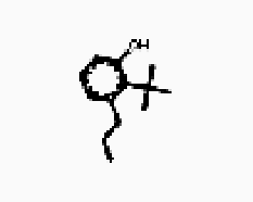 CCCc1cccc(O)c1C(C)(C)C